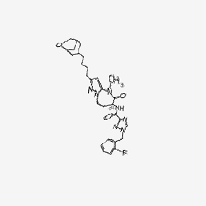 CN1C(=O)[C@@H](NC(=O)c2ncn(Cc3ccccc3F)n2)CCn2nc(CCCCC3CC4COC(C3)C4)cc21